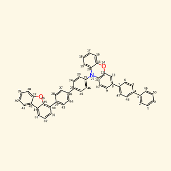 c1ccc(-c2ccc(-c3ccc4c(c3)Oc3ccccc3N4c3ccc(-c4ccc(-c5cccc6c5oc5ccccc56)cc4)cc3)cc2)cc1